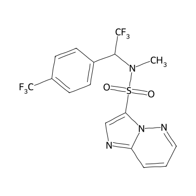 CN(C(c1ccc(C(F)(F)F)cc1)C(F)(F)F)S(=O)(=O)c1cnc2cccnn12